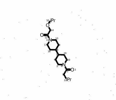 CC(C)CC(=O)N1CCC(C2CCN(C(=O)COC(C)C)CC2)CC1